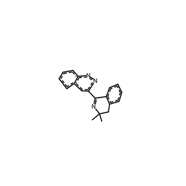 CC1(C)Cc2ccccc2C(c2cc3ccccc3nn2)=N1